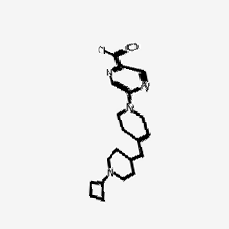 O=C(Cl)c1cnc(N2CCC(CC3CCN(C4CCC4)CC3)CC2)cn1